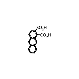 O=C(O)c1c(S(=O)(=O)O)ccc2cc3ccccc3cc12